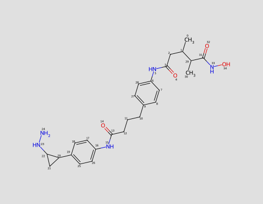 CC(CC(=O)Nc1ccc(CCCC(=O)Nc2ccc(C3CC3NN)cc2)cc1)C(C)C(=O)NO